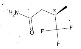 C[C@H](CC(N)=O)C(F)(F)F